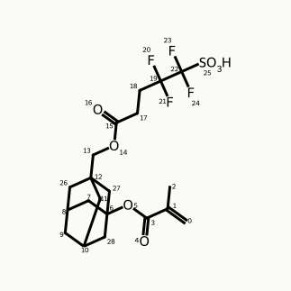 C=C(C)C(=O)OC12CC3CC(CC(COC(=O)CCC(F)(F)C(F)(F)S(=O)(=O)O)(C3)C1)C2